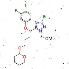 COCn1nc(Br)nc1C(CCCOC1CCCCO1)Oc1ccc(F)c(F)c1